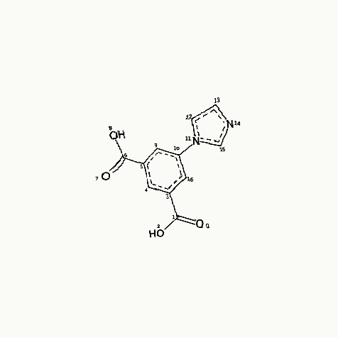 O=C(O)c1cc(C(=O)O)cc(-n2ccnc2)c1